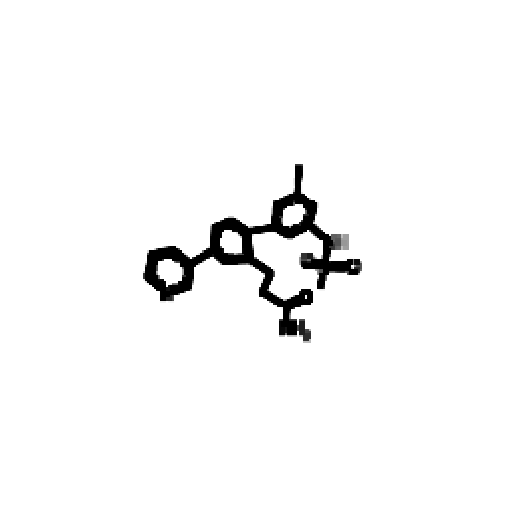 Cc1cc(NS(C)(=O)=O)cc(-c2ccc(-c3cccnc3)cc2CCC(N)=O)c1